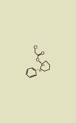 O=C(CCl)O[C@H]1CCCC[C@@H]1c1ccccc1